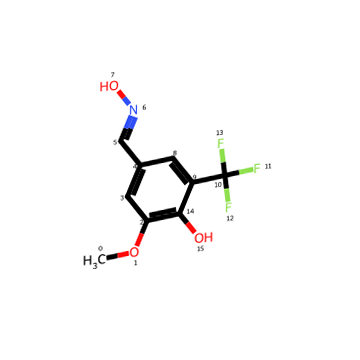 COc1cc(C=NO)cc(C(F)(F)F)c1O